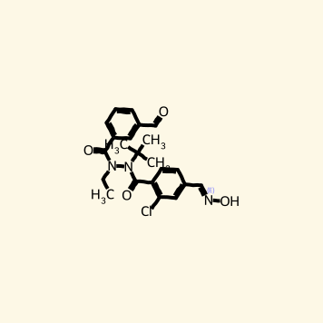 CCN(C(=O)c1cccc(C=O)c1)N(C(=O)c1ccc(/C=N/O)cc1Cl)C(C)(C)C